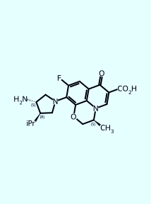 CC(C)[C@@H]1CN(c2c(F)cc3c(=O)c(C(=O)O)cn4c3c2OC[C@@H]4C)C[C@H]1N